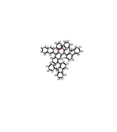 c1ccc(-c2cc3ccccc3cc2-c2c3cccc(-c4cccc5c6ccccc6n(-c6ccccc6)c45)c3cc3c(-c4cccc5c6ccccc6n(-c6ccccc6)c45)cccc23)cc1